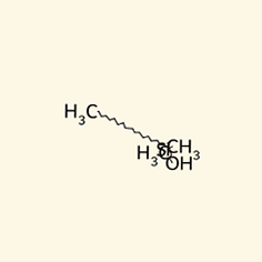 CCCCCCCCCCCCCCCCCC[Si](C)(C)CCO